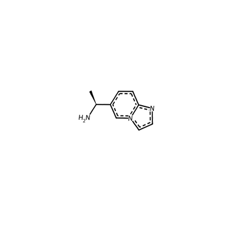 C[C@H](N)c1ccc2nccn2c1